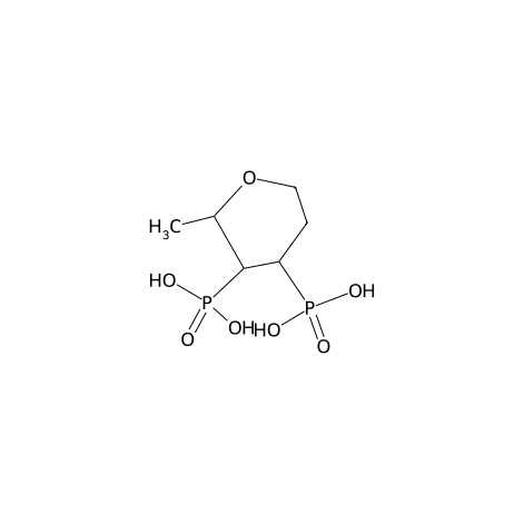 CC1OCCC(P(=O)(O)O)C1P(=O)(O)O